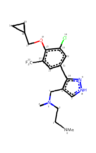 CNCCN(C)Cc1c[nH]nc1-c1cc(Cl)c(OCC2CC2)c(C(F)(F)F)c1